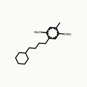 COc1cc(CCCCC2CCCCC2)c(OC)cc1C